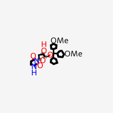 COc1ccc(C(OC[C@H]2O[C@H](n3c(=O)cc[nH]c3=O)C[C@@H]2O)(c2ccccc2)c2ccc(OC)cc2)cc1